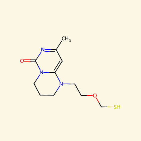 Cc1cc2n(c(=O)n1)CCCN2CCOCS